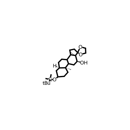 CC(C)(C)[Si](C)(C)OC1CC[C@]2(C)C3C[C@H](O)[C@@]4(C)C(CCC45OCCO5)C3CC[C@@H]2C1